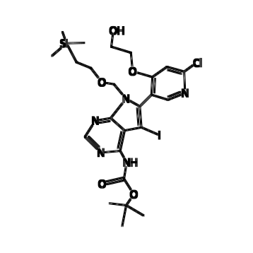 CC(C)(C)OC(=O)Nc1ncnc2c1c(I)c(-c1cnc(Cl)cc1OCCO)n2COCC[Si](C)(C)C